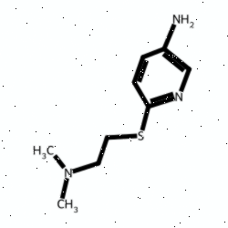 CN(C)CCSc1ccc(N)cn1